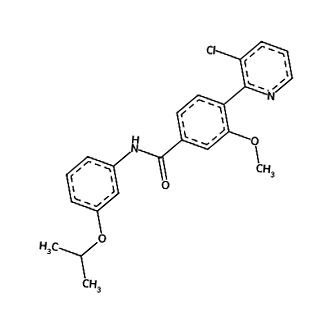 COc1cc(C(=O)Nc2cccc(OC(C)C)c2)ccc1-c1ncccc1Cl